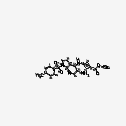 Cc1ccc(S(=O)(=O)n2ccc3c(NC45CC(C(=O)OC(C)(C)C)(C4)C5)c(N)cnc32)cc1